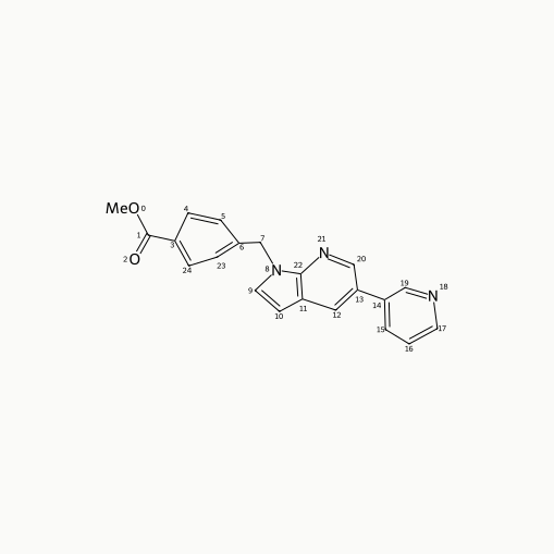 COC(=O)c1ccc(Cn2ccc3cc(-c4cccnc4)cnc32)cc1